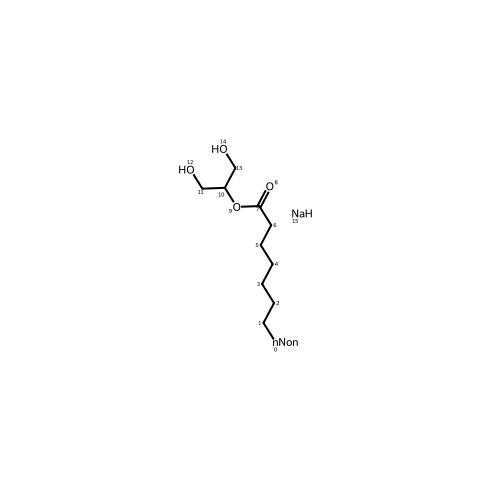 CCCCCCCCCCCCCCCC(=O)OC(CO)CO.[NaH]